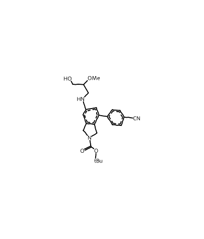 COC(CO)CNc1cc2c(c(-c3ccc(C#N)cc3)c1)CN(C(=O)OC(C)(C)C)C2